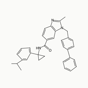 Cc1nc2ccc(C(=O)NC3(c4cccc(C(C)C)c4)CC3)cc2n1Cc1ccc(-c2ccccc2)cc1